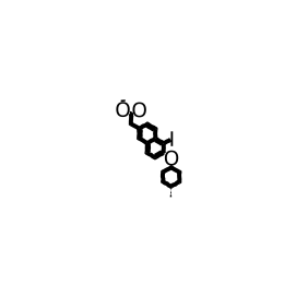 COC(=O)Cc1ccc2c(I)c(O[C@H]3CC[C@@H](C)CC3)ccc2c1